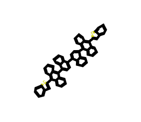 c1ccc2sc(-c3c4ccccc4c(-c4ccc(-c5ccc(-c6c7ccccc7c(-c7cc8ccccc8s7)c7ccccc67)c6ccccc56)c5ccccc45)c4ccccc34)cc2c1